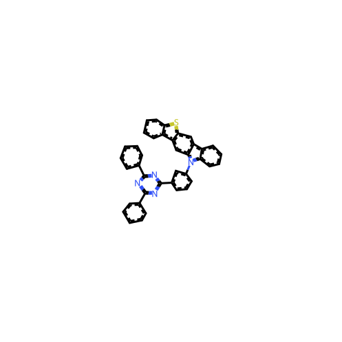 c1ccc(-c2nc(-c3ccccc3)nc(-c3cccc(-n4c5ccccc5c5cc6sc7ccccc7c6cc54)c3)n2)cc1